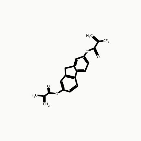 C=C(C(=O)Oc1ccc2c(c1)Cc1cc(OC(=O)C(=C)C(F)(F)F)ccc1-2)C(F)(F)F